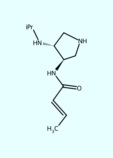 C/C=C/C(=O)N[C@@H]1CNC[C@H]1NC(C)C